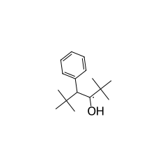 CC(C)(C)[C](O)C(c1ccccc1)C(C)(C)C